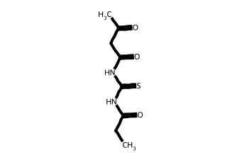 CCC(=O)NC(=S)NC(=O)CC(C)=O